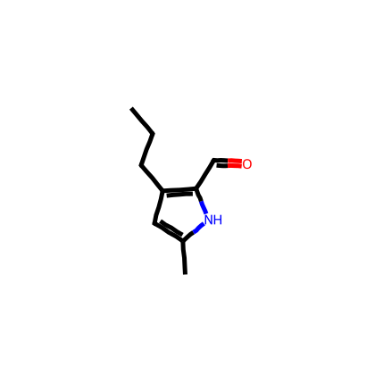 CCCc1cc(C)[nH]c1C=O